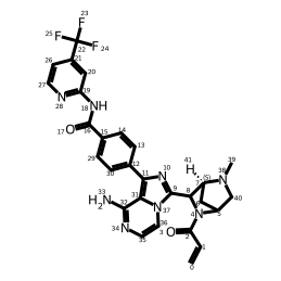 C=CC(=O)N1C2C[C@@H](C1c1nc(-c3ccc(C(=O)Nc4cc(C(F)(F)F)ccn4)cc3)c3c(N)nccn13)N(C)C2